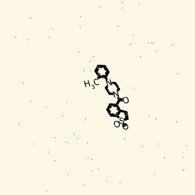 Cc1ccccc1N1CCN(C(=O)c2cccc3c2C=CS3(=O)=O)CC1